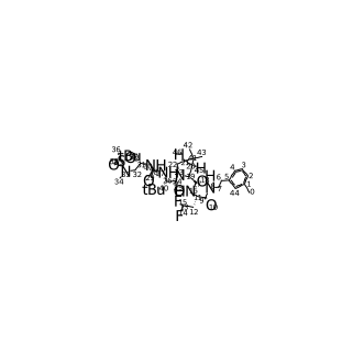 Cc1cccc(CCNC(=O)[C@H](CC(F)F)NC(=O)[C@@H]2[C@@H]3[C@H](CN2C(=O)[C@@H](NC(=O)N[C@H](CN(C)S(C)(=O)=O)C(C)(C)C)C(C)(C)C)C3(C)C)c1